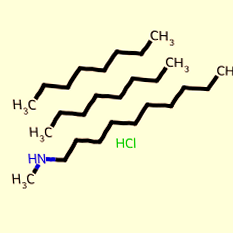 CCCCCCCC.CCCCCCCC.CCCCCCCCCCNC.Cl